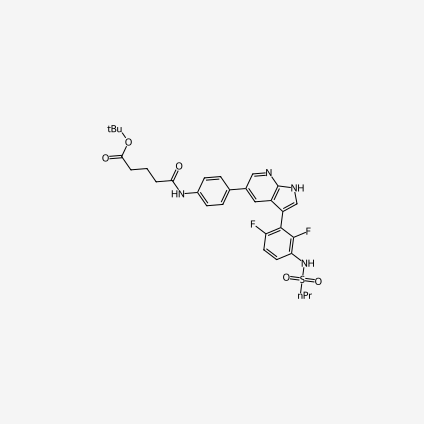 CCCS(=O)(=O)Nc1ccc(F)c(-c2c[nH]c3ncc(-c4ccc(NC(=O)CCCC(=O)OC(C)(C)C)cc4)cc23)c1F